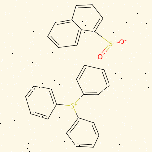 O=S([O-])c1cccc2ccccc12.c1ccc([S+](c2ccccc2)c2ccccc2)cc1